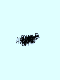 CC(=O)OCC(=O)[C@H]1CC[C@H]2[C@@H]3CC[C@@H]4C[C@@H](OC5O[C@H](C(=O)O)[C@@H](O)[C@@H](O)[C@H]5O)CC[C@]4(C)[C@H]3[C@H](OC(C)=O)C[C@]12C